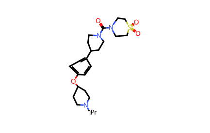 CC(C)N1CCC(Oc2ccc(C3CCN(C(=O)N4CCS(=O)(=O)CC4)CC3)cc2)CC1